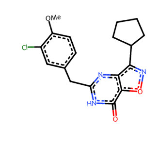 COc1ccc(Cc2nc3c(C4CCCC4)noc3c(=O)[nH]2)cc1Cl